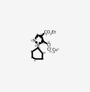 CCOC(=O)c1cnn(C2CCCCC2)c1Cl.[Cl-].[Cu+]